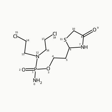 NP(=O)(OCCC1NC(=O)CS1)N(CCCl)CCCl